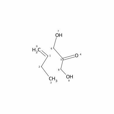 C=CCC.O=C(CO)CO